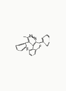 Cc1nnc(Cc2ccccc2)c(-c2c(F)cccc2F)c1-c1ccccc1